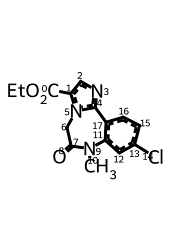 CCOC(=O)c1cnc2n1CC(=O)N(C)c1cc(Cl)ccc1-2